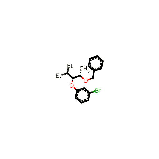 CCC(CC)[C@@H](Oc1cccc(Br)c1)[C@H](C)OCc1ccccc1